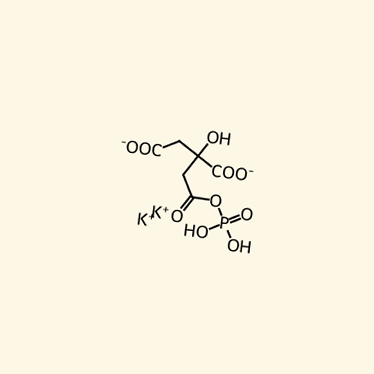 O=C([O-])CC(O)(CC(=O)OP(=O)(O)O)C(=O)[O-].[K+].[K+]